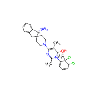 CC1=NC(N2CCC3(CC2)Cc2ccccc2[C@@H]3N)=C(C)C(O)N1C1=CC=CC(Cl)C1(C)Cl